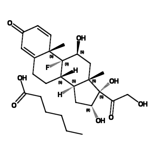 CCCCCC(=O)O.C[C@]12C=CC(=O)C=C1CC[C@H]1[C@@H]3C[C@@H](O)[C@](O)(C(=O)CO)[C@@]3(C)C[C@H](O)[C@@]12F